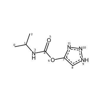 CC(C)NC(=O)Oc1c[nH]nn1